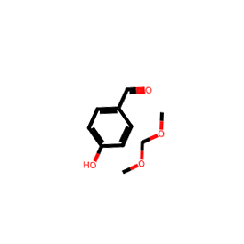 COCOC.O=Cc1ccc(O)cc1